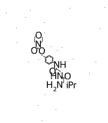 CC(C)[C@H](N)C(=O)NCC(=O)Nc1ccc(COC(=O)N2CCOCC2)cc1